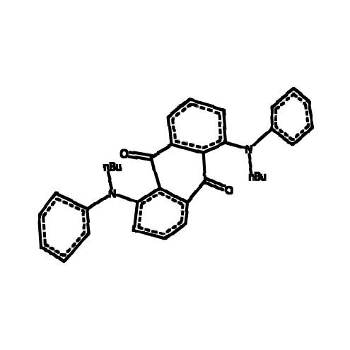 CCCCN(c1ccccc1)c1cccc2c1C(=O)c1cccc(N(CCCC)c3ccccc3)c1C2=O